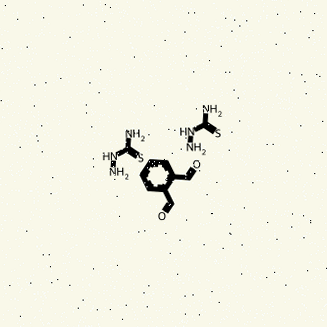 NNC(N)=S.NNC(N)=S.O=Cc1ccccc1C=O